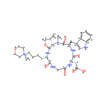 CC(C)[C@H]1C(=O)N[C@@H](CCCC[N+]2(C)CCOCC2)C(=O)NCC(=O)N[C@@H](CC(=O)O)C(=O)N[C@H](Cc2c[nH]c3ccccc23)C(=O)N1C